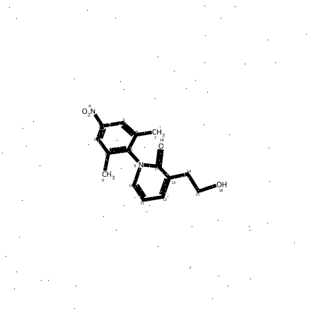 Cc1cc([N+](=O)[O-])cc(C)c1-n1cccc(CCO)c1=O